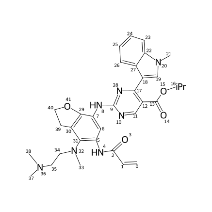 C=CC(=O)Nc1cc(Nc2ncc(C(=O)OC(C)C)c(-c3cn(C)c4ccccc34)n2)c2c(c1N(C)CCN(C)C)CCO2